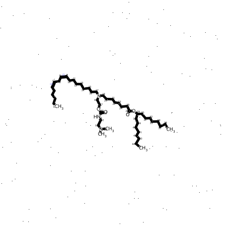 CCCCC/C=C\C/C=C\CCCCCCCCN(CCCCCCCC(=O)OC(CCCCCCCC)CCCCCCCC)CCOC(=O)NCCN(C)C